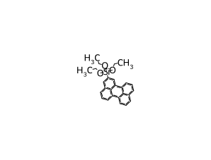 CCO[Si](OCC)(OCC)c1cc2cccc3c4cccc5cccc(c(c1)c23)c54